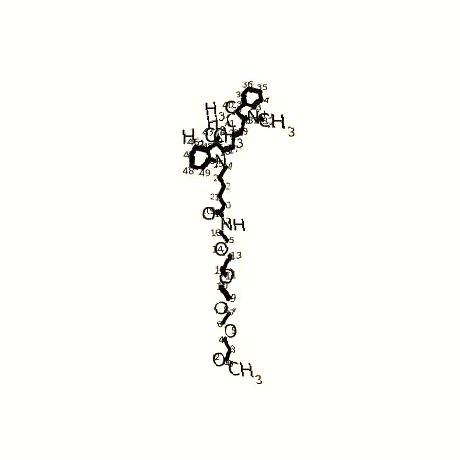 CC(=O)CCOCCOCCOCCOCCNC(=O)CCCCCN1/C(=C/C=C/C2=[N+](C)c3ccccc3C2(C)C)C(C)(C)c2ccccc21